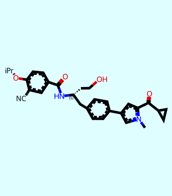 CC(C)Oc1ccc(C(=O)N[C@H](CCO)Cc2ccc(-c3cc(C(=O)C4CC4)n(C)c3)cc2)cc1C#N